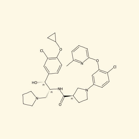 Cc1cccc(Oc2cc(N3CC[C@@H](C(=O)N[C@H](CN4CCCC4)[C@H](O)c4ccc(OC5CC5)c(Cl)c4)C3)ccc2Cl)n1